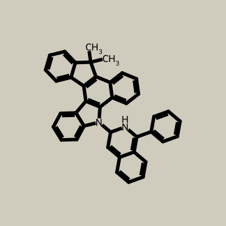 CC1(C)c2ccccc2-c2c1c1ccccc1c1c2c2ccccc2n1C1C=c2ccccc2=C(c2ccccc2)N1